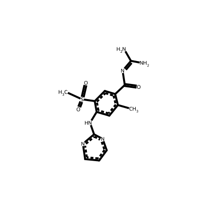 Cc1cc(Nc2ncccn2)c(S(C)(=O)=O)cc1C(=O)N=C(N)N